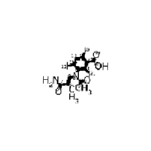 CC(=O)N(C=C(C)C(N)=O)c1c(I)cc(I)c(C(=O)O)c1I